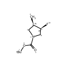 C[C@@H]1CN(C(=O)OC(C)(C)C)C[C@@H]1F